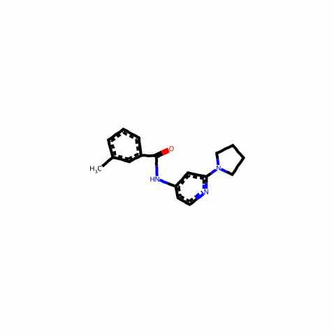 Cc1cccc(C(=O)Nc2ccnc(N3CCCC3)c2)c1